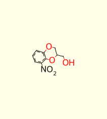 O=[N+]([O-])c1cccc2c1OC(CO)CO2